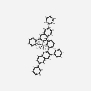 Cc1cccc(-c2cc3ccc(-c4ccccc4)cc3cc2-c2ccccc2)c1P(O)(O)(O)c1cc2ccc(-c3ccccc3)cc2cc1-c1ccccc1